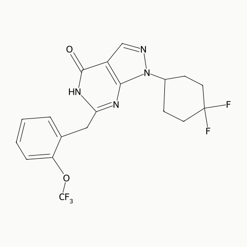 O=c1[nH]c(Cc2ccccc2OC(F)(F)F)nc2c1cnn2C1CCC(F)(F)CC1